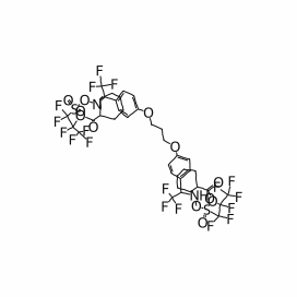 O=C(OC(F)(C(F)(F)F)C(F)(F)S(=O)(=O)ON=C(c1ccc(OCCCOc2ccc(C(NOS(=O)(=O)C(F)(F)C(F)(OC(=O)C3CCCCC3)C(F)(F)F)C(F)(F)F)cc2)cc1)C(F)(F)F)C1CCCCC1